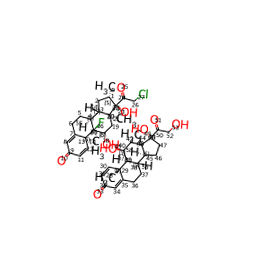 C[C@H]1C[C@H]2[C@@H]3CCC4=CC(=O)C=C[C@]4(C)[C@@]3(F)[C@@H](O)C[C@]2(C)[C@@]1(O)C(=O)CCl.C[C@]12C=CC(=O)C=C1CC[C@@H]1[C@@H]2[C@@H](O)C[C@@]2(C)[C@H]1CC[C@]2(O)C(=O)CO